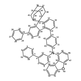 c1ccc(-c2cccc(N(c3ccc(-c4cccc5c4-c4ccc(-c6ccccc6)cc4C54C5CC6CC(C5)CC4C6)cc3)c3cccc4oc5ccccc5c34)c2)cc1